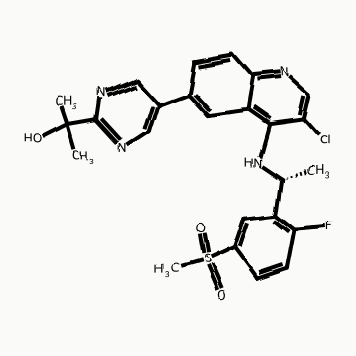 C[C@@H](Nc1c(Cl)cnc2ccc(-c3cnc(C(C)(C)O)nc3)cc12)c1cc(S(C)(=O)=O)ccc1F